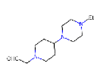 CCN1CCN(C2CCN(C[C]=O)CC2)CC1